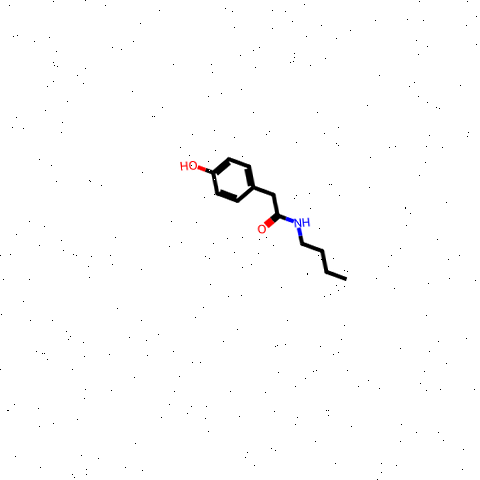 CCCCNC(=O)Cc1ccc(O)cc1